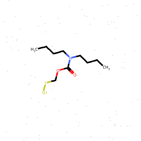 CCCCN(CCCC)C(=O)OCSS